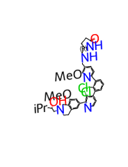 COc1cc(-c2nccc(-c3cccc(-c4ccc(CNC[C@H]5CCC(=O)N5)c(OC)n4)c3Cl)c2Cl)cc2c1CN(CC(O)C(C)C)CC2